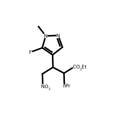 CCCC(C(=O)OCC)C(C[N+](=O)[O-])c1cnn(C)c1F